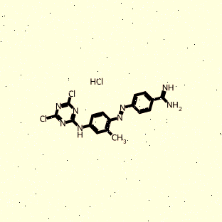 Cc1cc(Nc2nc(Cl)nc(Cl)n2)ccc1N=Nc1ccc(C(=N)N)cc1.Cl